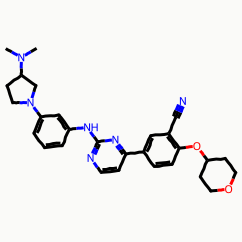 CN(C)C1CCN(c2cccc(Nc3nccc(-c4ccc(OC5CCOCC5)c(C#N)c4)n3)c2)C1